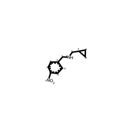 O=[N+]([O-])c1ccc(CNCC2CC2)cc1